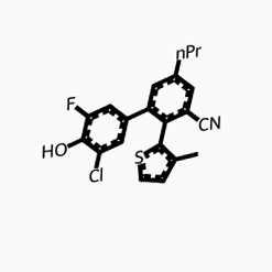 CCCc1cc(C#N)c(-c2sccc2C)c(-c2cc(F)c(O)c(Cl)c2)c1